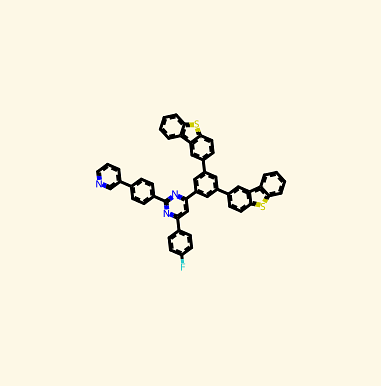 Fc1ccc(-c2cc(-c3cc(-c4ccc5sc6ccccc6c5c4)cc(-c4ccc5sc6ccccc6c5c4)c3)nc(-c3ccc(-c4cccnc4)cc3)n2)cc1